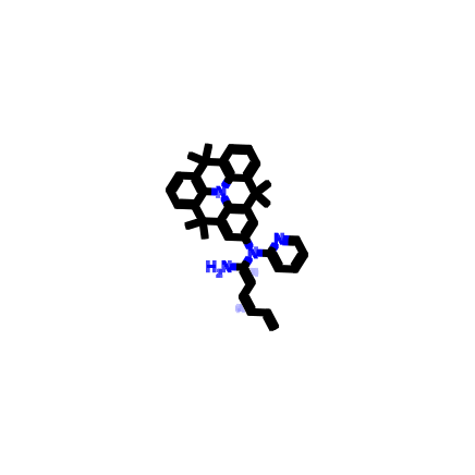 C=C/C=C\C=C(/N)N(c1cc2c3c(c1)C(C)(C)c1cccc4c1N3c1c(cccc1C2(C)C)C4(C)C)c1ccccn1